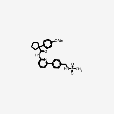 COc1ccc(C2(C(=O)Nc3cccc(-c4ccc(CNS(C)(=O)=O)cc4)n3)CCCC2)cc1